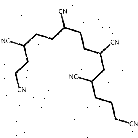 N#CCCCC(C#N)CC(C#N)CCC(C#N)CCC(C#N)CCC#N